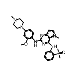 COc1cc(N2CCN(C)CC2)ccc1Nc1nc(Nc2ccccc2P(C)(C)=O)c2c(ccn2C)n1